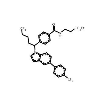 CCOC(=O)CCNC(=O)c1ccc(C(CCCC(F)(F)F)n2ccc3cc(-c4ccc(C(F)(F)F)cc4)ccc32)cc1